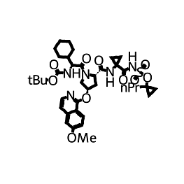 CCCC1(OS(=O)(=O)NC(=O)C2(NC(=O)[C@@H]3C[C@@H](Oc4nccc5cc(OC)ccc45)CN3C(=O)[C@@H](NC(=O)OC(C)(C)C)C3CCCCC3)CC2)CC1